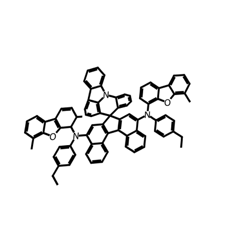 CCc1ccc(N(c2cc3c(c4ccccc24)-c2c(cc(N(c4ccc(CC)cc4)C4c5oc6c(C)cccc6c5C=CC4C)c4ccccc24)C32c3ccccc3-n3c4ccccc4c4cccc2c43)c2cccc3c2oc2c(C)cccc23)cc1